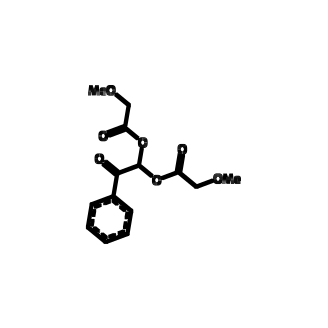 COCC(=O)OC(OC(=O)COC)C(=O)c1ccccc1